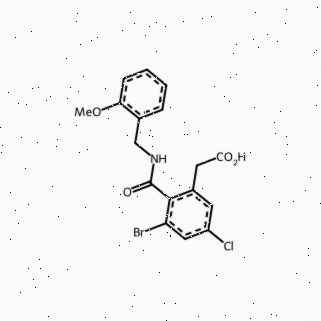 COc1ccccc1CNC(=O)c1c(Br)cc(Cl)cc1CC(=O)O